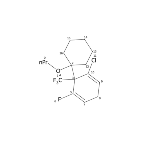 CCCOC1(C2(C(F)(F)F)C(F)=CCC=C2Cl)CCCCC1